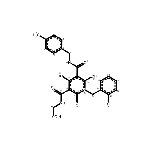 Cc1ccc(CNC(=O)c2c(O)c(C(=O)NCC(=O)O)c(=O)n(Cc3ccccc3Cl)c2O)cc1